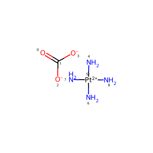 O=C([O-])[O-].[NH2][Pt+2]([NH2])([NH2])[NH2]